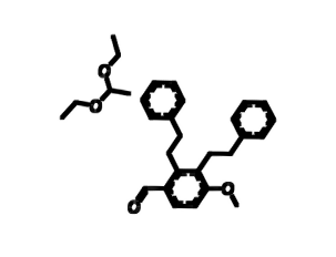 CCOC(C)OCC.COc1ccc(C=O)c(CCc2ccccc2)c1CCc1ccccc1